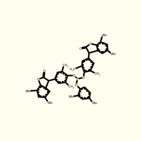 Cc1cc(C2C(=O)Oc3c2cc(C(C)(C)C)cc3C(C)(C)C)cc(C)c1OP(Oc1ccc(C(C)(C)C)cc1C(C)(C)C)Oc1c(C)cc(C2C(=O)Oc3c2cc(C(C)(C)C)cc3C(C)(C)C)cc1C